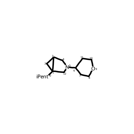 CCCC(C)C12CC1CN(C1CCOCC1)C2